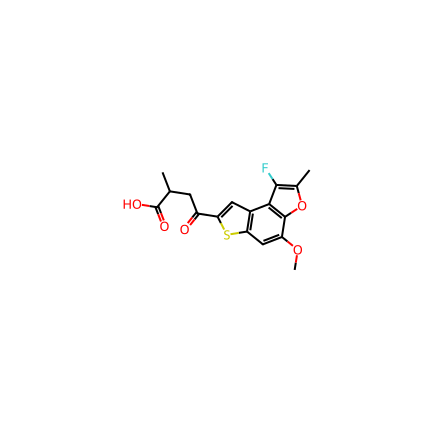 COc1cc2sc(C(=O)CC(C)C(=O)O)cc2c2c(F)c(C)oc12